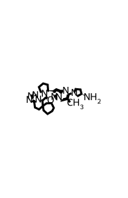 Cc1cn2nc([C@@H]3CCCCN3C(=O)C3n4nnnc4CCC34CCCCCC4)cc2nc1N1CC[C@H](N)C1